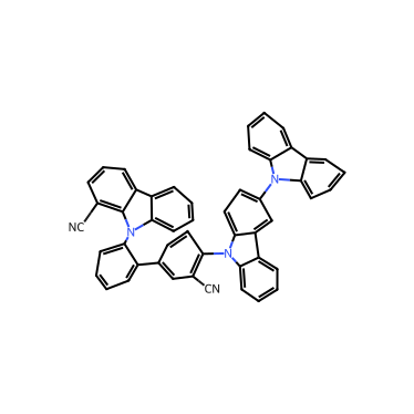 N#Cc1cc(-c2ccccc2-n2c3ccccc3c3cccc(C#N)c32)ccc1-n1c2ccccc2c2cc(-n3c4ccccc4c4ccccc43)ccc21